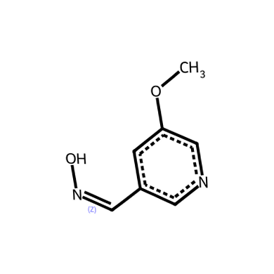 COc1cncc(/C=N\O)c1